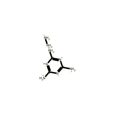 NN.Nc1nc(N)nc(N)n1